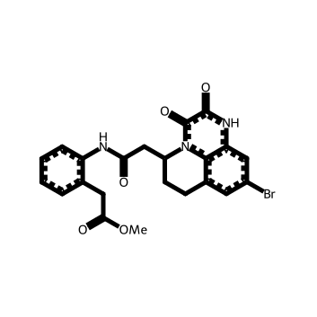 COC(=O)Cc1ccccc1NC(=O)CC1CCc2cc(Br)cc3[nH]c(=O)c(=O)n1c23